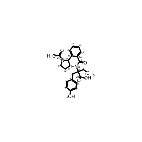 CCC(Cc1ccc(O)cc1)(NC(=O)c1ccccc1C1CCCN1C(C)=O)C(=O)O